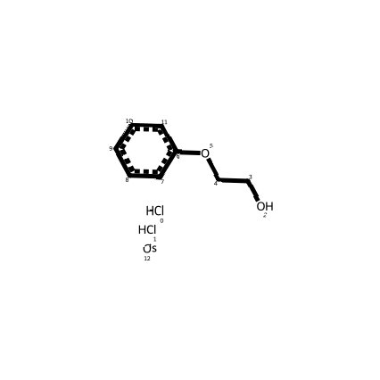 Cl.Cl.OCCOc1ccccc1.[Os]